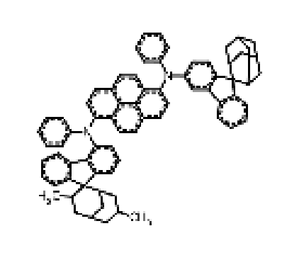 CC1CC2CC(C)C3(c4ccccc4-c4c(N(c5ccccc5)c5ccc6ccc7c(N(c8ccccc8)c8ccc9c(c8)-c8ccccc8C98C9CC%10CC(C9)CC8C%10)ccc8ccc5c6c87)cccc43)C(C1)C2